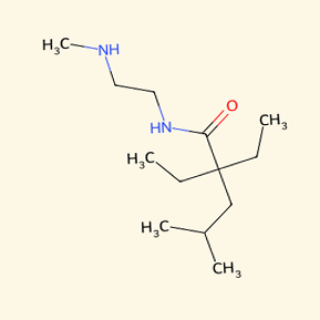 CCC(CC)(CC(C)C)C(=O)NCCNC